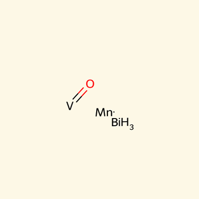 [BiH3].[Mn].[O]=[V]